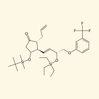 C=CC[C@H]1C(=O)CC(O[Si](C)(C)C(C)(C)C)[C@@H]1/C=C/[C@H](COc1cccc(C(F)(F)F)c1)O[Si](CC)(CC)CC